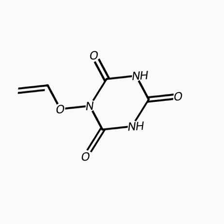 C=COn1c(=O)[nH]c(=O)[nH]c1=O